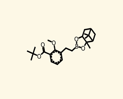 COc1c(CCB2OC3CC4CC(C4(C)C)C3(C)O2)cccc1C(=O)OC(C)(C)C